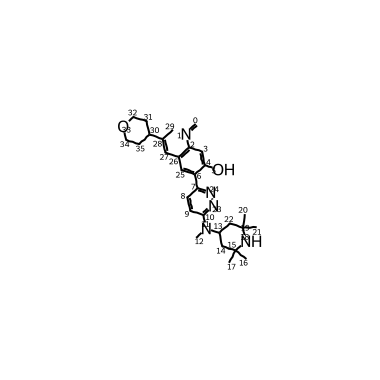 C=Nc1cc(O)c(-c2ccc(N(C)C3CC(C)(C)NC(C)(C)C3)nn2)cc1/C=C(\C)C1CCOCC1